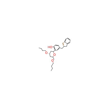 CCCCOCC1C[C@H](OCCCC)CC(c2cc(CC3Cc4ccccc4S3)ccc2O)O1